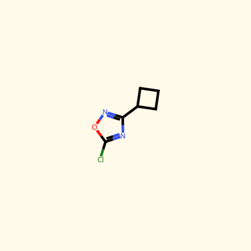 Clc1nc(C2CCC2)no1